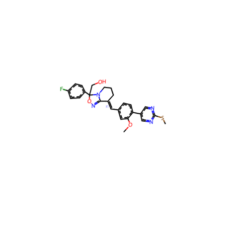 COc1cc(/C=C2\CCCN3C2=NOC3(CO)c2ccc(F)cc2)ccc1-c1cnc(SC)nc1